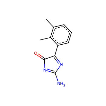 Cc1cccc(C2=NC(N)=NC2=O)c1C